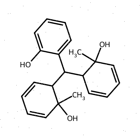 CC1(O)C=CC=CC1C(c1ccccc1O)C1C=CC=CC1(C)O